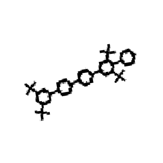 CC(C)(C)c1cc(-c2ccc(-c3ccc(-c4cc(C(C)(C)C)c(-c5ccccc5)c(C(C)(C)C)c4)cc3)cc2)cc(C(C)(C)C)c1